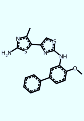 COc1ccc(-c2ccccc2)cc1Nc1nc(-c2sc(N)nc2C)cs1